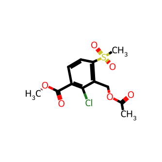 COC(=O)c1ccc(S(C)(=O)=O)c(COC(C)=O)c1Cl